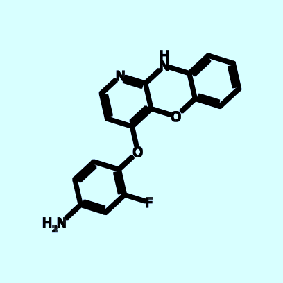 Nc1ccc(Oc2ccnc3c2Oc2ccccc2N3)c(F)c1